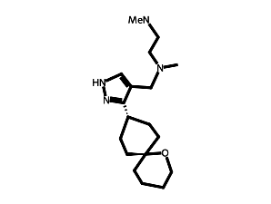 CNCCN(C)Cc1c[nH]nc1[C@H]1CC[C@@]2(CCCCO2)CC1